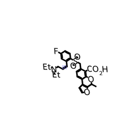 CCN(CC)C/C=C\c1cc(F)ccc1S(=O)(=O)Cc1ccc2c(c1C(=O)O)OC(C)c1occc1-2